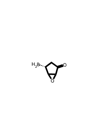 B[C@@H]1CC(=O)C2OC21